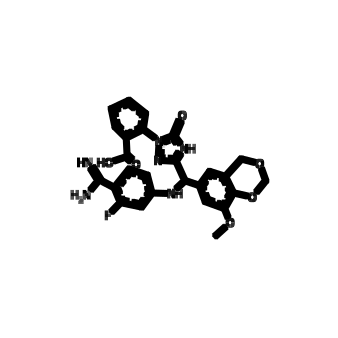 COc1cc(C(Nc2ccc(C(=N)N)c(F)c2)c2nn(-c3ccccc3C(=O)O)c(=O)[nH]2)cc2c1OCOC2